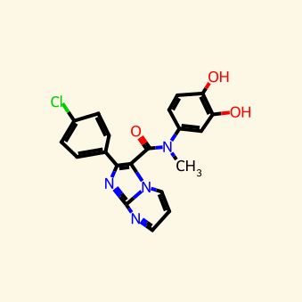 CN(C(=O)c1c(-c2ccc(Cl)cc2)nc2ncccn12)c1ccc(O)c(O)c1